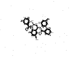 Cc1ccc(N(C(=O)c2ccccc2)[C@H]2C[C@H](C)N(C(=O)c3ccccc3)c3ccc(C)cc32)cc1